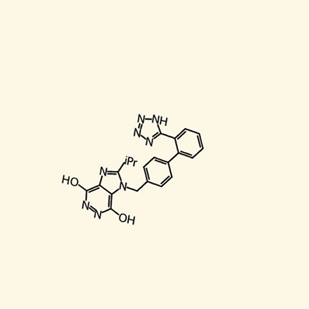 CC(C)c1nc2c(O)nnc(O)c2n1Cc1ccc(-c2ccccc2-c2nnn[nH]2)cc1